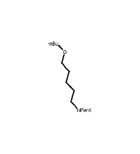 CCC[CH]OCCCCCCCCCC